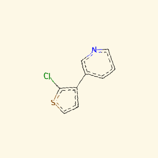 Clc1sccc1-c1cccnc1